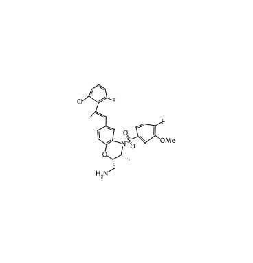 COc1cc(S(=O)(=O)N2c3cc(/C=C(\C)c4c(F)cccc4Cl)ccc3O[C@@H](CN)[C@H]2C)ccc1F